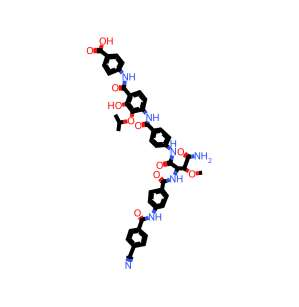 COC(C(N)=O)C(NC(=O)c1ccc(NC(=O)c2ccc(C#N)cc2)cc1)C(=O)Nc1ccc(C(=O)Nc2ccc(C(=O)Nc3ccc(C(=O)O)cc3)c(O)c2OC(C)C)cc1